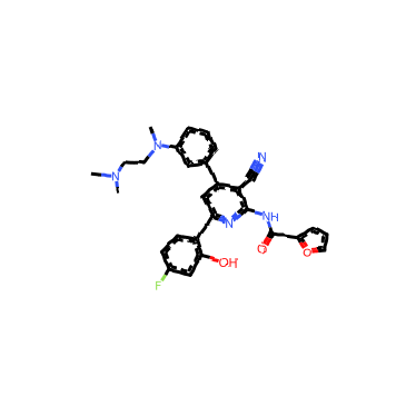 CN(C)CCN(C)c1cccc(-c2cc(-c3ccc(F)cc3O)nc(NC(=O)c3ccco3)c2C#N)c1